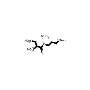 CCCCCCCCCCCCOC(=O)C(CC(=O)O)S(=O)(=O)O.[MgH2]